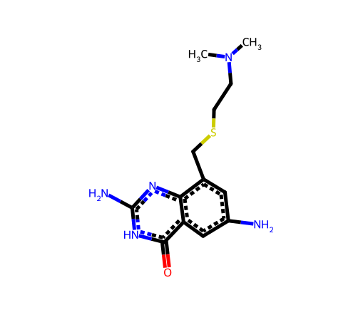 CN(C)CCSCc1cc(N)cc2c(=O)[nH]c(N)nc12